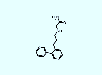 NC(=O)CNCCCc1ccccc1-c1ccccc1